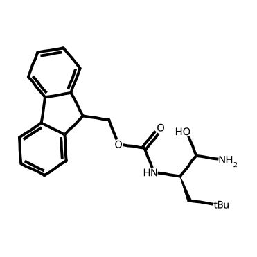 CC(C)(C)C[C@@H](NC(=O)OCC1c2ccccc2-c2ccccc21)C(N)O